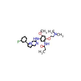 C=CC(=O)Nc1cc(Nc2cn3c(-c4cccc(F)c4)ccc3cn2)c(OC)cc1OCCN(C)C